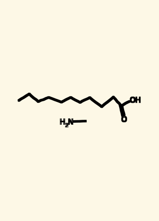 CCCCCCCCCCC(=O)O.CN